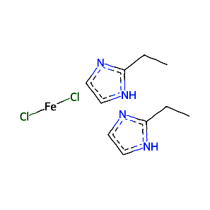 CCc1ncc[nH]1.CCc1ncc[nH]1.[Cl][Fe][Cl]